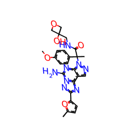 COc1ccc(C(C)(C(=O)NCC2(O)COC2)n2ncc3c2nc(N)n2nc(-c4ccc(C)o4)nc32)cc1